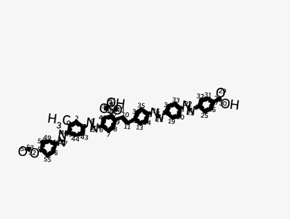 Cc1cc(N=Nc2ccc(C=Cc3ccc(N=Nc4ccc(N=Nc5ccc(C(=O)O)cc5)cc4)cc3)c(S(=O)(=O)O)c2)ccc1N=Nc1ccc(OC=O)cc1